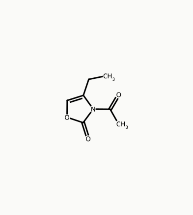 CCc1coc(=O)n1C(C)=O